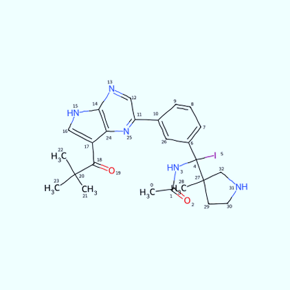 CC(=O)NC(I)(c1cccc(-c2cnc3[nH]cc(C(=O)C(C)(C)C)c3n2)c1)C1(C)CCNC1